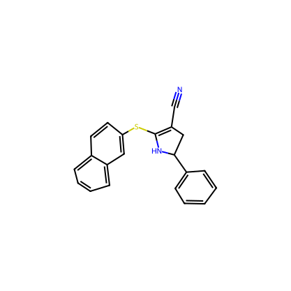 N#CC1=C(Sc2ccc3ccccc3c2)NC(c2ccccc2)C1